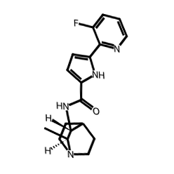 C[C@H]1[C@H](NC(=O)c2ccc(-c3ncccc3F)[nH]2)C2CCN1CC2